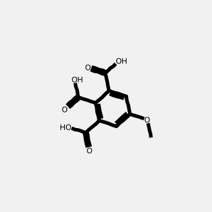 COc1cc(C(=O)O)c(C(=O)O)c(C(=O)O)c1